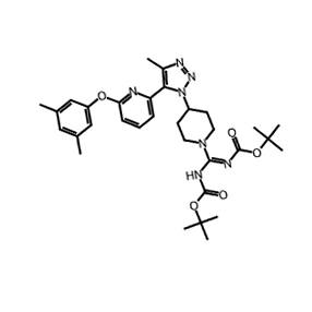 Cc1cc(C)cc(Oc2cccc(-c3c(C)nnn3C3CCN(/C(=N\C(=O)OC(C)(C)C)NC(=O)OC(C)(C)C)CC3)n2)c1